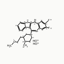 COCCC1CN(C2=Nc3cc(F)c(F)cc3Nc3sc4ccccc4c32)CCN1C.Cl.Cl